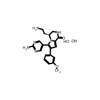 Cl.Cl.NCC[C@H]1CNC(=O)c2cc(-c3cccc(OC(F)(F)F)c3)c(-c3cnc(N)nc3)n21